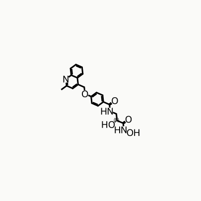 Cc1cc(COc2ccc(C(=O)NC[C@@H](O)C(=O)NO)cc2)c2ccccc2n1